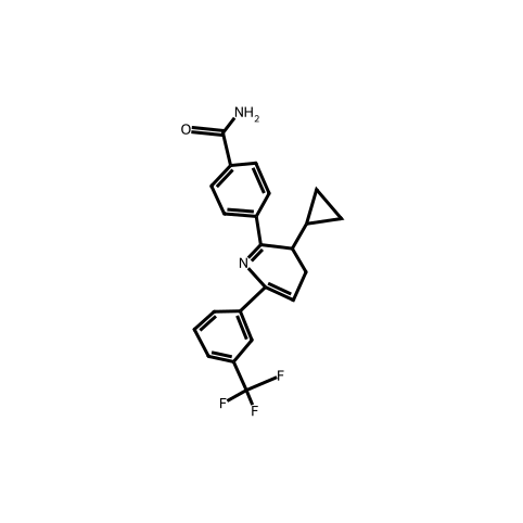 NC(=O)c1ccc(C2=NC(c3cccc(C(F)(F)F)c3)=CCC2C2CC2)cc1